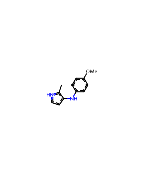 COc1ccc(Nc2cc[nH]c2C)cc1